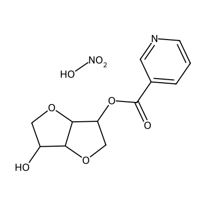 O=C(OC1COC2C(O)COC12)c1cccnc1.O=[N+]([O-])O